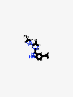 CCc1cnn(-c2nc(-c3n[nH]c4ccc(C5CC5)cc34)ncc2C)c1